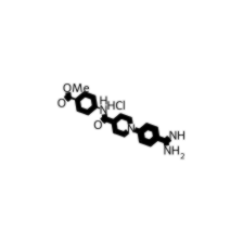 COC(=O)[C@H]1CC[C@H](NC(=O)C2CCN(c3ccc(C(=N)N)cc3)CC2)CC1.Cl